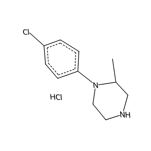 CC1CNCCN1c1ccc(Cl)cc1.Cl